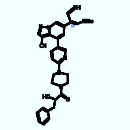 CN/C=C(\C=N)c1cc(-c2ccc(N3CCN(C(=O)C(O)Cc4ccccc4)CC3)nc2)c2c(C#N)cnn2c1